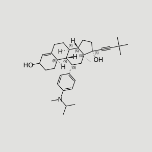 CC(C)N(C)c1ccc([C@H]2C[C@@]3(C)[C@@H](CC[C@@]3(O)C#CC(C)(C)C)[C@@H]3CCC4=CC(O)CC[C@@H]4[C@H]32)cc1